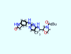 CC(C)(C)C(=O)N1CCOC(CNc2nc(Nc3ccc4c(c3)CC(=O)N4)ncc2C(F)(F)F)C1